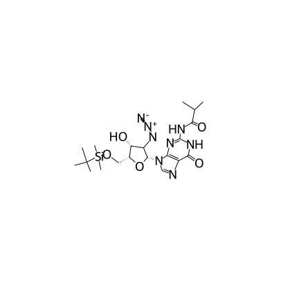 CC(C)C(=O)Nc1nc2c(ncn2[C@@H]2O[C@H](CO[Si](C)(C)C(C)(C)C)[C@H](O)C2N=[N+]=[N-])c(=O)[nH]1